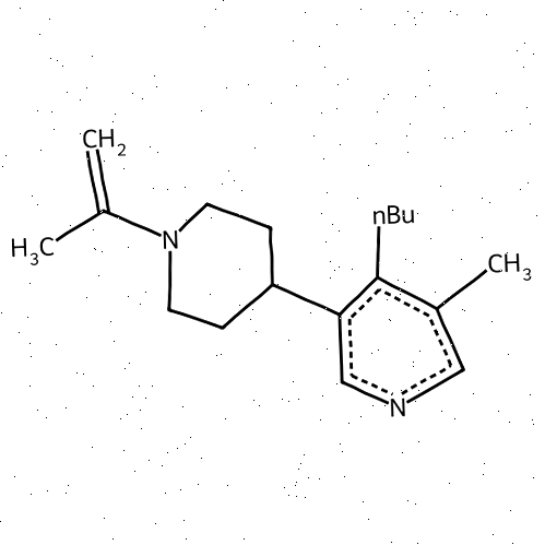 C=C(C)N1CCC(c2cncc(C)c2CCCC)CC1